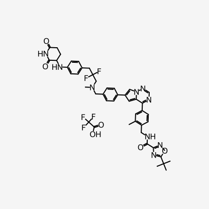 Cc1cc(-c2ncnn3cc(-c4ccc(CN(C)CC(F)(F)Cc5ccc(NC6CCC(=O)NC6=O)cc5)cc4)cc23)ccc1CNC(=O)c1noc(C(C)(C)C)n1.O=C(O)C(F)(F)F